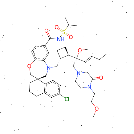 CC/C=C/[C@](CN1CCN(CCOC)C(=O)C1)(OC)[C@@H]1CC[C@H]1CN1C[C@@]2(CCCc3cc(Cl)ccc32)COc2ccc(C(=O)NS(=O)(=O)C(C)C)cc21